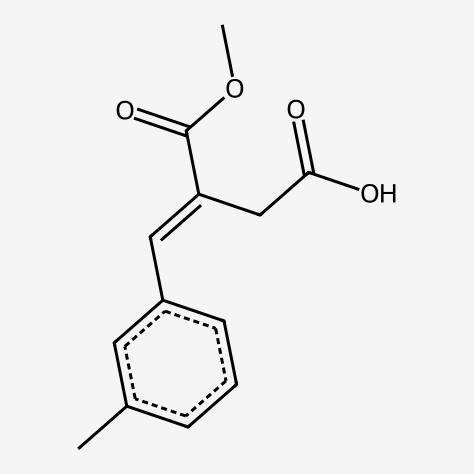 COC(=O)/C(=C/c1cccc(C)c1)CC(=O)O